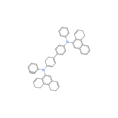 c1cccc(N(C2=CC=C(c3ccc(N(c4ccccc4)c4cc5ccccc5c5c4C=CCC5)cc3)CC2)c2cc3c(c4c2C=CCC4)CCC=C3)c#1